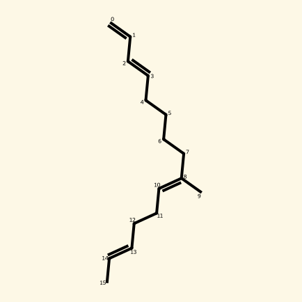 C=CC=CCCCCC(C)=CCCC=CC